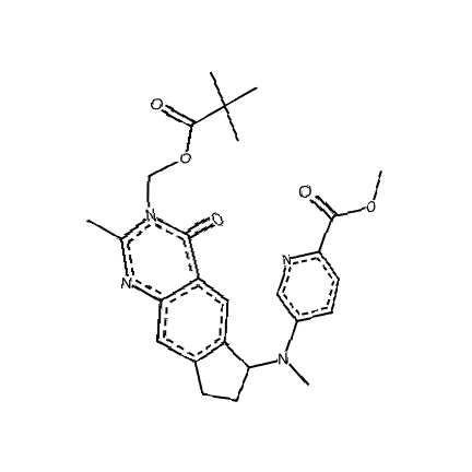 COC(=O)c1ccc(N(C)C2CCc3cc4nc(C)n(COC(=O)C(C)(C)C)c(=O)c4cc32)cn1